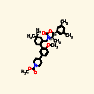 COC(=O)N1CC=C(c2ccc(OC)c(C3=C(CN4C(=O)O[C@H](c5cc(C)cc(C)c5)[C@@H]4C)CC(C)(C)CC3)c2)CC1